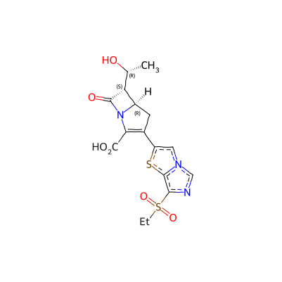 CCS(=O)(=O)c1ncn2cc(C3=C(C(=O)O)N4C(=O)[C@H]([C@@H](C)O)[C@H]4C3)sc12